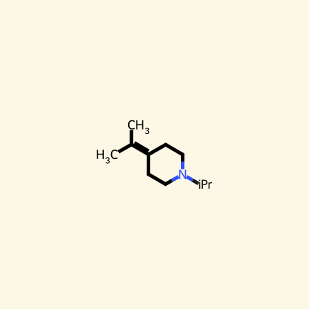 CC(C)=C1CCN(C(C)C)CC1